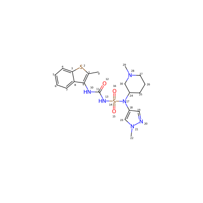 Cc1sc2ccccc2c1NC(=O)NS(=O)(=O)N(c1cnn(C)c1)C1CCCN(C)C1